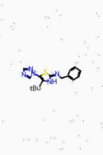 CC(C)(C)c1[nH]c(=NCc2ccccc2)sc1-n1cncn1